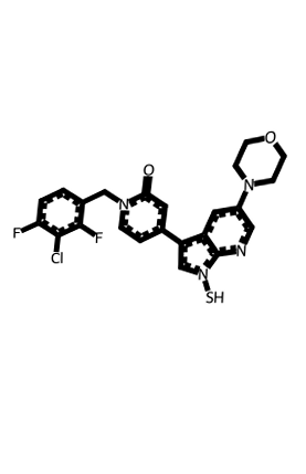 O=c1cc(-c2cn(S)c3ncc(N4CCOCC4)cc23)ccn1Cc1ccc(F)c(Cl)c1F